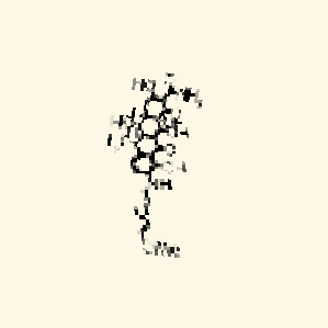 COCCOCCNc1ccc2c(c1O)C(=O)C1=C(O)[C@]3(O)C(=O)C(C(N)=O)=C(O)C[C@@H]3[C@@H](O)[C@@H]1[C@H]2C